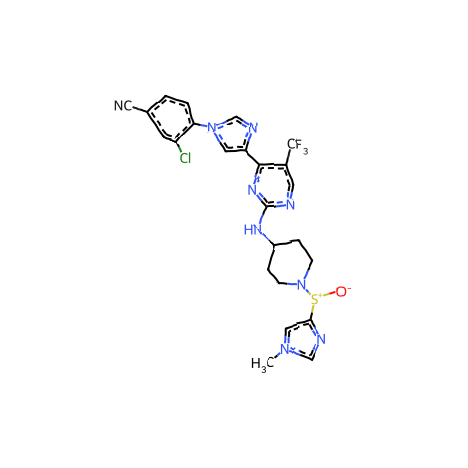 Cn1cnc([S+]([O-])N2CCC(Nc3ncc(C(F)(F)F)c(-c4cn(-c5ccc(C#N)cc5Cl)cn4)n3)CC2)c1